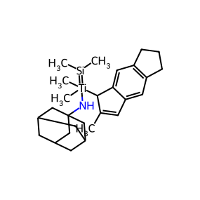 CC1=Cc2cc3c(cc2[CH]1[Ti]([CH3])([CH3])([NH]C12CC4CC(CC(C4)C1)C2)=[Si](C)C)CCC3